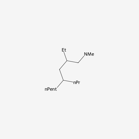 CCCCCC(CCC)CC(CC)CNC